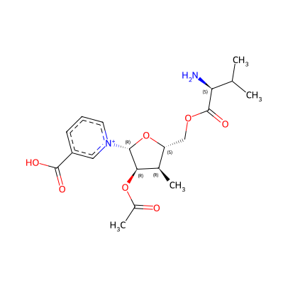 CC(=O)O[C@@H]1[C@H](C)[C@@H](COC(=O)[C@@H](N)C(C)C)O[C@H]1[n+]1cccc(C(=O)O)c1